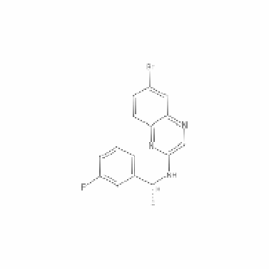 C[C@@H](Nc1cnc2cc(Br)ccc2n1)c1cccc(F)c1